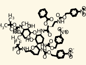 CN(C(=O)OC(C)(C)C)[C@@H]1[C@@H](O)[C@@H](O[C@@H]2[C@@H](O)[C@H](C3OC(CNC(=O)C(F)(F)F)=CC[C@H]3NC(=O)OCc3ccc([N+](=O)[O-])cc3)[C@@H](NC(=O)OCc3ccc([N+](=O)[O-])cc3)C[C@H]2NC(=O)[C@@H](CCNC(=O)OCc2ccc([N+](=O)[O-])cc2)OC(=O)c2ccccc2)OC[C@]1(C)O